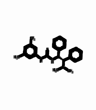 Cc1cc(NC(=S)NC(c2ccccc2)[C@H](c2ccccc2)N(C)C)cc(C(F)(F)F)c1